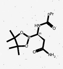 CCCC(=O)N[C@@H](CC(N)=O)B1OC(C)(C)C(C)(C)O1